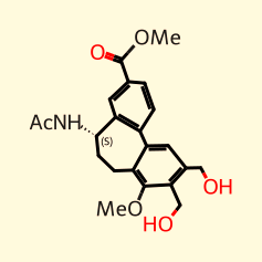 COC(=O)c1ccc2c(c1)[C@@H](NC(C)=O)CCc1c-2cc(CO)c(CO)c1OC